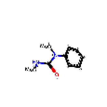 CONC(=O)N(OC)c1ccccc1